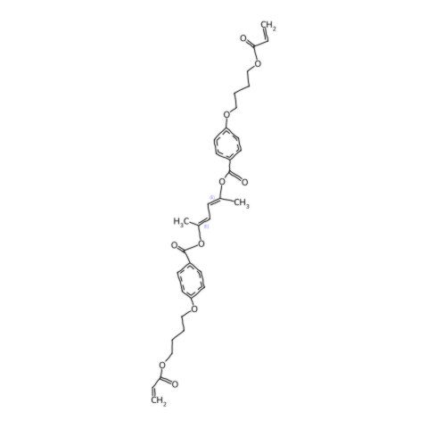 C=CC(=O)OCCCCOc1ccc(C(=O)O/C(C)=C/C=C(\C)OC(=O)c2ccc(OCCCCOC(=O)C=C)cc2)cc1